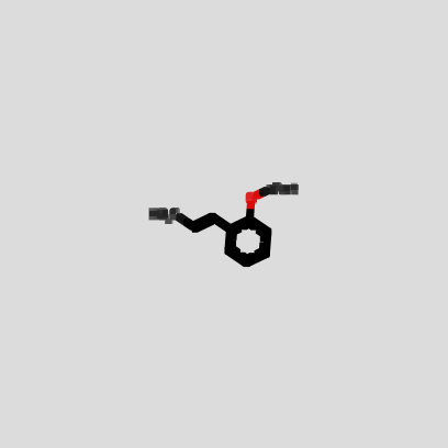 CCCCCOc1ccccc1/C=C/C(=O)O